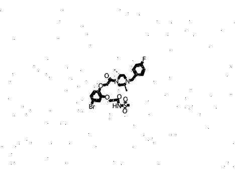 C[C@@H]1CN(Cc2ccc(F)cc2)[C@@H](C)CN1C(=O)COc1ccc(Br)cc1OCC(=O)NS(C)(=O)=O